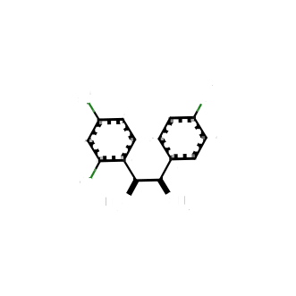 C=C(C(=C)c1ccc(Cl)cc1Cl)c1ccc(Cl)cc1